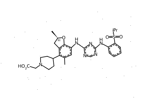 Cc1cc(Nc2ncnc(Nc3ccccc3S(=O)(=O)C(C)C)n2)c2c(c1C1CCN(CC(=O)O)CC1)C[C@@H](C)O2